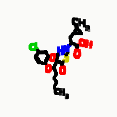 C=C1CC1CC(NSC(=O)C1(C(CCCCC)Oc2ccc(Cl)cc2)CO1)C(=O)O